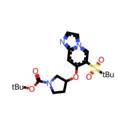 CC(C)(C)OC(=O)N1CCC(Oc2cc3nccn3cc2S(=O)(=O)C(C)(C)C)C1